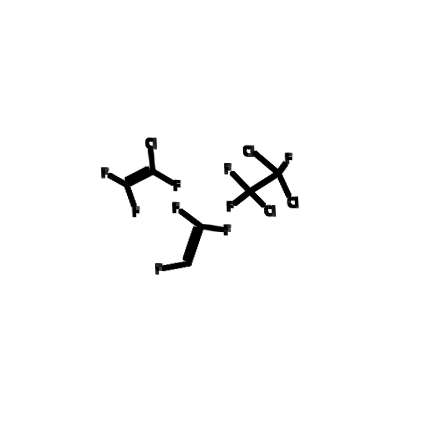 FC(F)(Cl)C(F)(Cl)Cl.FC(F)=C(F)Cl.FC=C(F)F